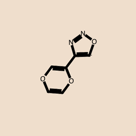 [c]1onnc1C1=COC=CO1